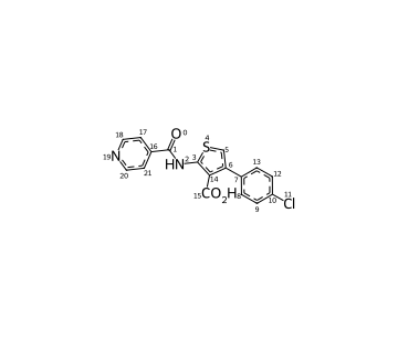 O=C(Nc1scc(-c2ccc(Cl)cc2)c1C(=O)O)c1ccncc1